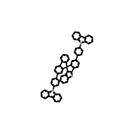 c1ccc2c(c1)-c1ccc(-c3ccc(-n4c5ccccc5c5ccccc54)cc3)cc1C21c2cc(-c3ccc(-n4c5ccccc5c5ccccc54)cc3)ccc2-c2sc3ccccc3c21